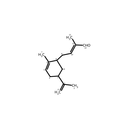 C=C(C)C1CC=C(C)C(CC=C(C)C=O)C1